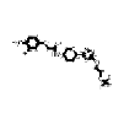 Cc1ccc(OCC(=O)N[C@H]2CC[C@H](c3nnc(OCCOC(F)(F)F)s3)OC2)cc1F